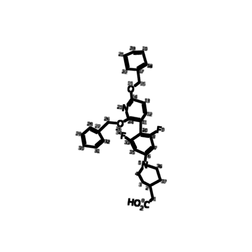 O=C(O)CC1CCN(c2cc(F)c(-c3ccc(OCc4ccccc4)nc3OCc3ccccc3)c(F)c2)CC1